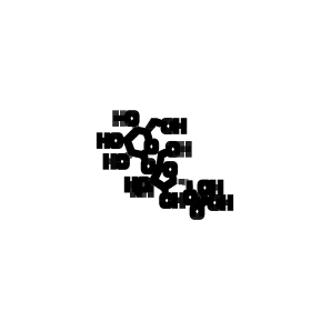 O=P(O)(O)OC[C@H]1OC(CO)(OC2O[C@H](CO)[C@@H](O)[C@H](O)[C@H]2O)[C@@H](O)[C@@H]1O.[KH]